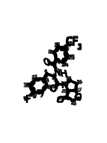 O=C(NC(Cc1ccc(F)cc1)C(=O)N1CCC2OCC(=O)C21)c1ccc(C(F)(F)F)cc1